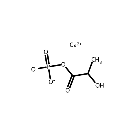 CC(O)C(=O)OP(=O)([O-])[O-].[Ca+2]